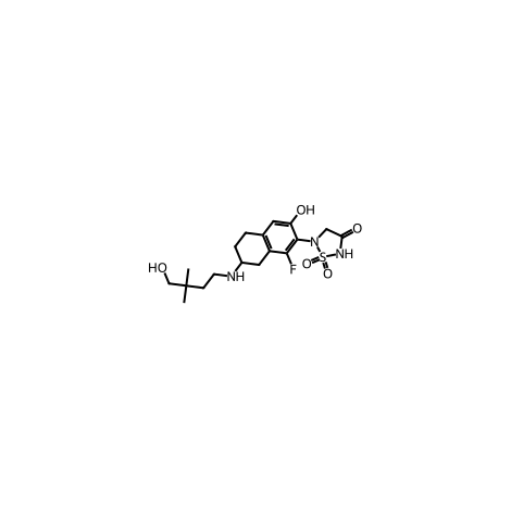 CC(C)(CO)CCNC1CCc2cc(O)c(N3CC(=O)NS3(=O)=O)c(F)c2C1